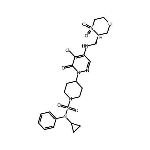 O=c1c(Cl)c(NC[C@@H]2COCCS2(=O)=O)cnn1C1CCN(S(=O)(=O)N(c2ccccc2)C2CC2)CC1